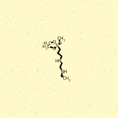 C=CNCCNCCC[Si](OC)(OC)OC